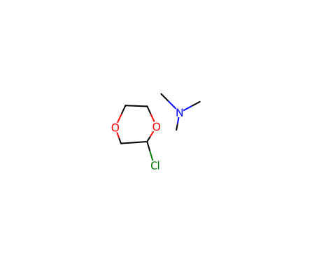 CN(C)C.ClC1COCCO1